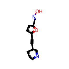 O/N=C/c1ccc(C#Cc2cccnc2)o1